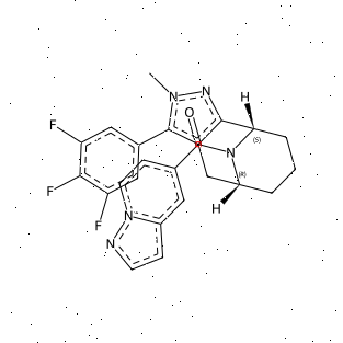 Cn1nc2c(c1-c1cc(F)c(F)c(F)c1)C[C@H]1CCC[C@@H]2N1C(=O)c1ccn2nccc2c1